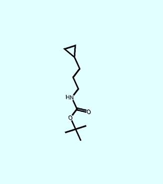 CC(C)(C)OC(=O)NCCCC1CC1